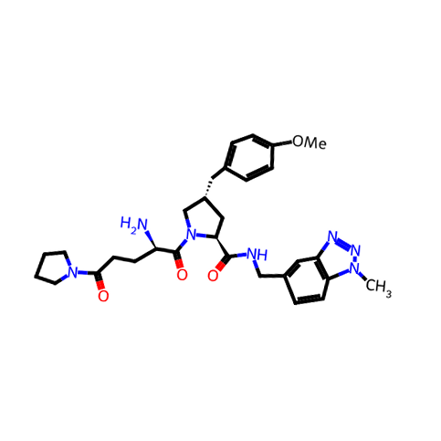 COc1ccc(C[C@@H]2C[C@@H](C(=O)NCc3ccc4c(c3)nnn4C)N(C(=O)[C@H](N)CCC(=O)N3CCCC3)C2)cc1